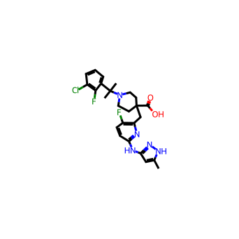 Cc1cc(Nc2ccc(F)c(CC3(C(=O)O)CCN(C(C)(C)c4cccc(Cl)c4F)CC3)n2)n[nH]1